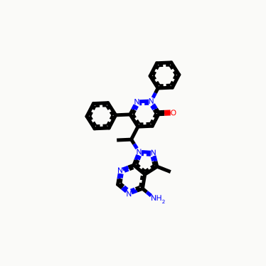 Cc1nn(C(C)c2cc(=O)n(-c3ccccc3)nc2-c2ccccc2)c2ncnc(N)c12